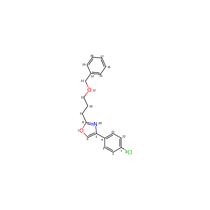 Clc1ccc(-c2coc(CCCOCc3ccccc3)n2)cc1